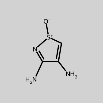 Nc1c[s+]([O-])nc1N